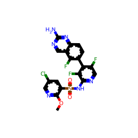 COc1ncc(Cl)cc1S(=O)(=O)Nc1ncc(F)c(-c2ccc3nc(N)ncc3c2F)c1F